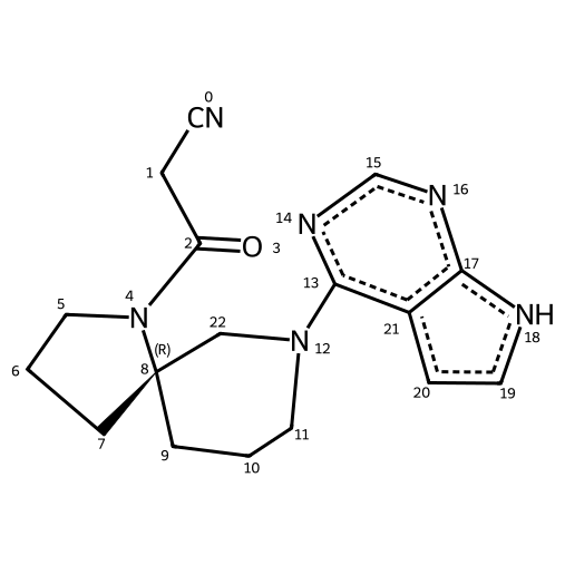 N#CCC(=O)N1CCC[C@@]12CCCN(c1ncnc3[nH]ccc13)C2